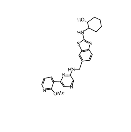 COc1ncccc1-c1cncc(NCc2ccc3nc(NC4CCCC[C@H]4O)sc3c2)n1